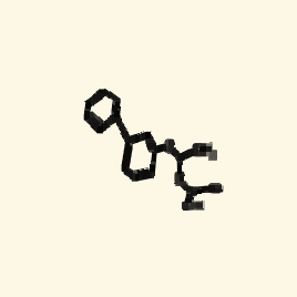 CC(Oc1cccc(-c2ccccc2)c1)OS(=O)O